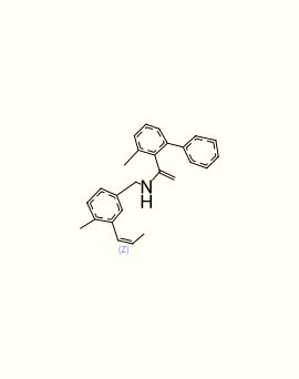 C=C(NCc1ccc(C)c(/C=C\C)c1)c1c(C)cccc1-c1ccccc1